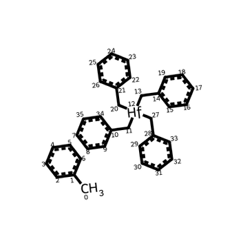 Cc1ccccc1.c1ccc([CH2][Hf]([CH2]c2ccccc2)([CH2]c2ccccc2)[CH2]c2ccccc2)cc1